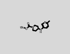 Cc1ccc(NC2CCN(C(=O)OC(C)(C)C)CC2)cn1